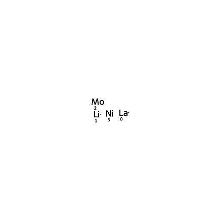 [La].[Li].[Mo].[Ni]